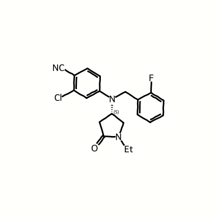 CCN1C[C@@H](N(Cc2ccccc2F)c2ccc(C#N)c(Cl)c2)CC1=O